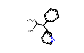 CCCCCC(C(=O)O)C(c1ccccc1)c1cccnc1